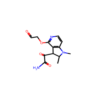 CC1C(C(=O)C(N)=O)c2c(ccnc2OCC=O)N1C